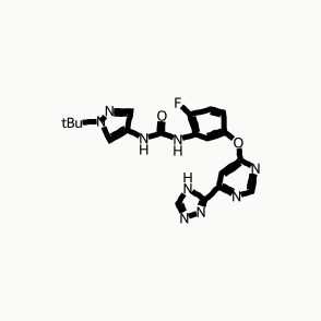 CC(C)(C)n1cc(NC(=O)Nc2cc(Oc3cc(-c4nnc[nH]4)ncn3)ccc2F)cn1